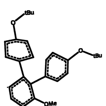 COc1cc[c]c(-c2ccc(OC(C)(C)C)cc2)c1-c1ccc(OC(C)(C)C)cc1